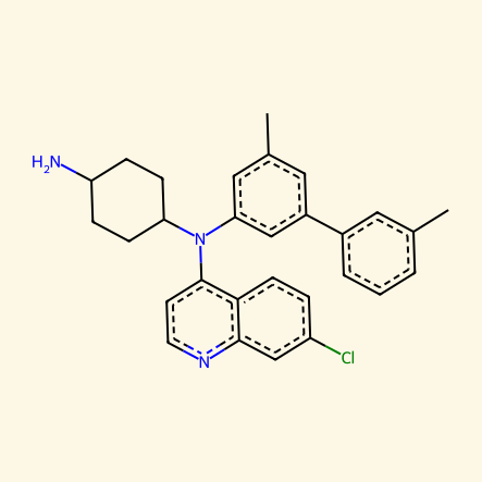 Cc1cccc(-c2cc(C)cc(N(c3ccnc4cc(Cl)ccc34)C3CCC(N)CC3)c2)c1